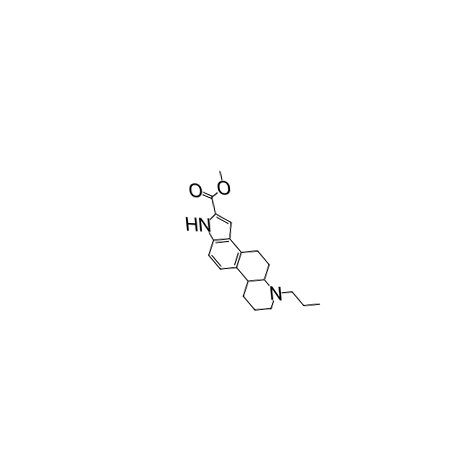 CCCN1CCCC2c3ccc4[nH]c(C(=O)OC)cc4c3CCC21